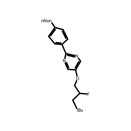 CCCCCCCCCc1ccc(-c2ncc(OCC(F)CC(C)CC)cn2)cc1